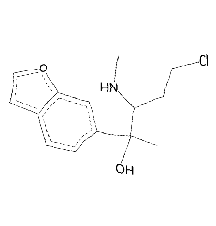 CNC(CCCl)C(C)(O)c1ccc2ccoc2c1